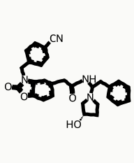 N#Cc1ccc(Cn2c(=O)oc3ccc(CC(=O)NC(Cc4ccccc4)N4CC[C@H](O)C4)cc32)cc1